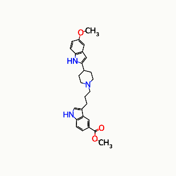 COC(=O)c1ccc2[nH]cc(CCCN3CCC(c4cc5cc(OC)ccc5[nH]4)CC3)c2c1